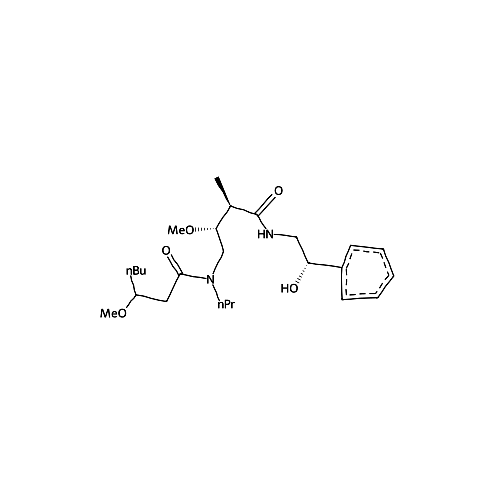 CCCCC(CC(=O)N(CCC)C[C@H](OC)[C@@H](C)C(=O)NC[C@@H](O)c1ccccc1)OC